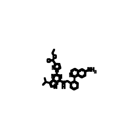 CCOC(=O)c1ccn(-c2nc(NCc3ccccc3-c3nccc4cc(N)ccc34)n3ncc(C(C)C)c3n2)n1